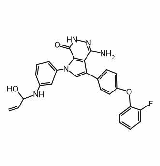 C=CC(O)Nc1cccc(-n2cc(-c3ccc(Oc4ccccc4F)cc3)c3c(N)n[nH]c(=O)c32)c1